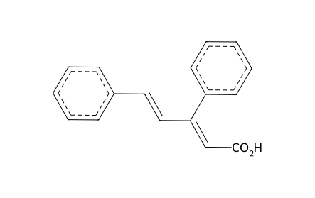 O=C(O)C=C(C=Cc1ccccc1)c1ccccc1